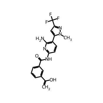 C=C(O)c1cccc(C(=O)Nc2ccc(-c3cc(C(F)(F)F)nn3C)c(N)n2)c1